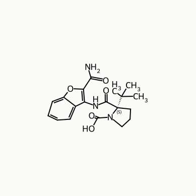 CC(C)(C)[C@]1(C(=O)Nc2c(C(N)=O)oc3ccccc23)CCCN1C(=O)O